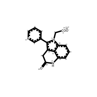 O=C([O-])Cn1c(-c2cccnc2)c2c3c(cccc31)NC(=O)C2.[Li+]